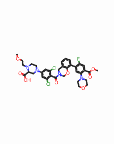 COCCN1CCN(c2cc(Cl)c(C(=O)N3COc4c(cccc4-c4cc(N5CCOCC5)c(C(=O)OC)cc4F)C3)c(Cl)c2)CC1C(=O)O